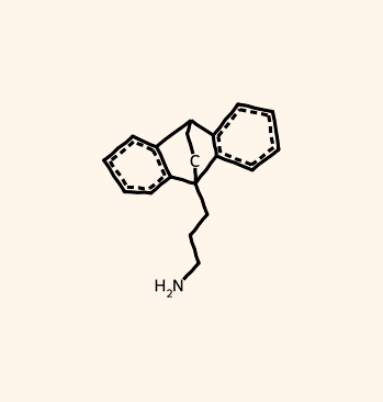 NCCCC12CCC(c3ccccc31)c1ccccc12